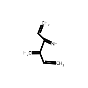 C=CC(=C)C(=N)C=C